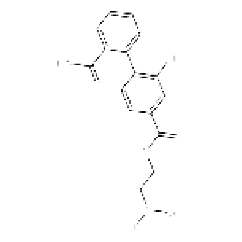 CCN(CC)CCNC(=O)c1ccc(-c2ccccc2C(N)=O)c(C(F)(F)F)c1